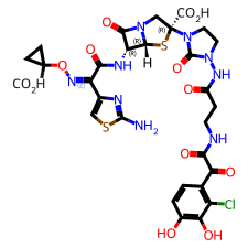 Nc1nc(/C(=N/OC2(C(=O)O)CC2)C(=O)N[C@@H]2C(=O)N3C[C@@](C(=O)O)(N4CCN(NC(=O)CCNC(=O)C(=O)c5ccc(O)c(O)c5Cl)C4=O)S[C@H]23)cs1